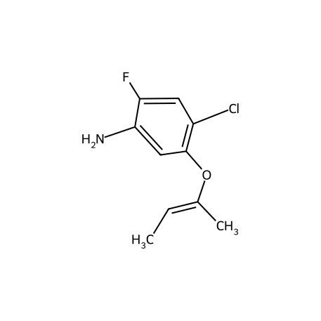 CC=C(C)Oc1cc(N)c(F)cc1Cl